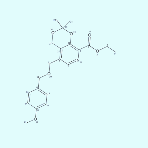 CCOC(=O)c1ncc(COCc2ccc(OC)cc2)c2c1OC(C)(C)OC2